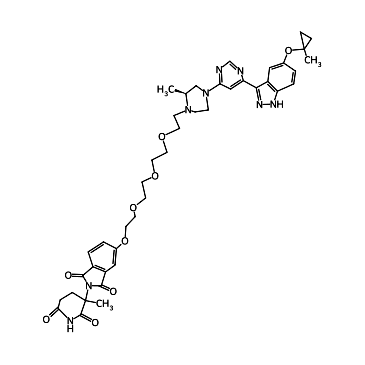 C[C@H]1CN(c2cc(-c3n[nH]c4ccc(OC5(C)CC5)cc34)ncn2)CCN1CCOCCOCCOCCOc1ccc2c(c1)C(=O)N(C1(C)CCC(=O)NC1=O)C2=O